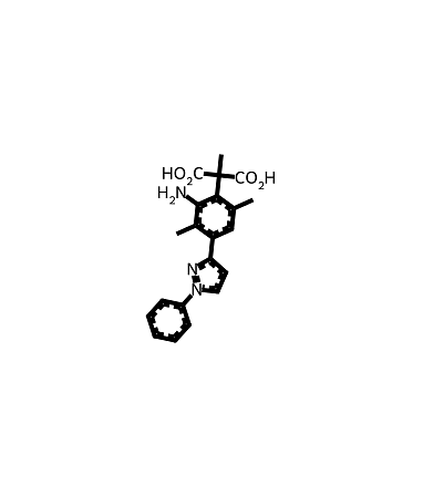 Cc1cc(-c2ccn(-c3ccccc3)n2)c(C)c(N)c1C(C)(C(=O)O)C(=O)O